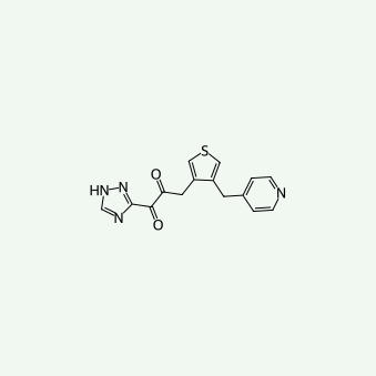 O=C(Cc1cscc1Cc1ccncc1)C(=O)c1nc[nH]n1